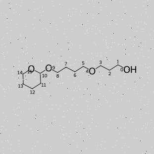 OCCCOCCCCOC1CCCCO1